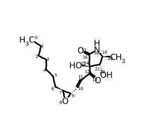 CCCCCCC[C@@H]1O[C@H]1/C=C/C(=O)[C@]1(O)C(=O)N[C@@H](C)[C@@H]1O